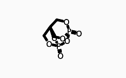 O=P12OCC3(CO1)COP(=O)(OC3)O2